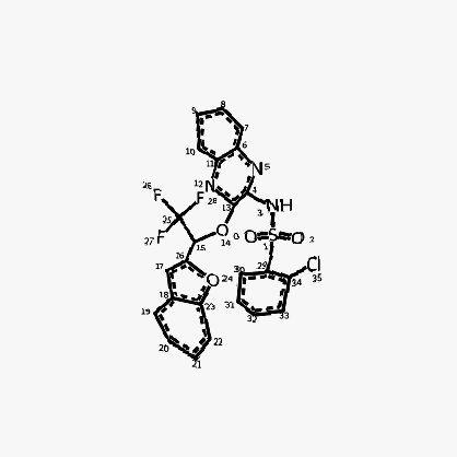 O=S(=O)(Nc1nc2ccccc2nc1OC(c1cc2ccccc2o1)C(F)(F)F)c1ccccc1Cl